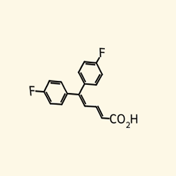 O=C(O)/C=C/C=C(c1ccc(F)cc1)c1ccc(F)cc1